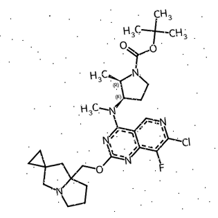 C[C@@H]1[C@H](N(C)c2nc(OCC34CCCN3CC3(CC3)C4)nc3c(F)c(Cl)ncc23)CCN1C(=O)OC(C)(C)C